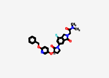 CN(C)C(=O)CN1Cc2c(F)cc(N3CC[C@@H](Oc4ccc(OCc5ccccc5)nc4)C3=O)cc2C1=O